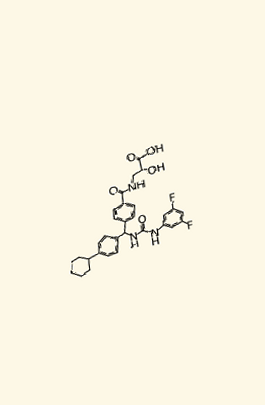 O=C(Nc1cc(F)cc(F)c1)NC(c1ccc(C(=O)NCC(O)C(=O)O)cc1)c1ccc(C2CCCCC2)cc1